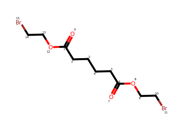 O=C(CCCCC(=O)OCCBr)OCCBr